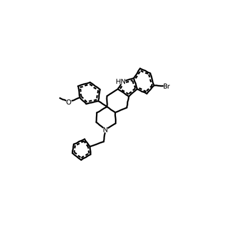 COc1cccc(C23CCN(Cc4ccccc4)CC2Cc2c([nH]c4ccc(Br)cc24)C3)c1